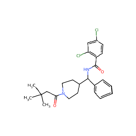 CC(C)(C)CC(=O)N1CCC(C(NC(=O)c2ccc(Cl)cc2Cl)c2ccccc2)CC1